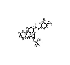 COc1ccc(CNc2ccc(N3CCOCC3)c(C(=O)NCC3(O)CC3)c2)cc1F